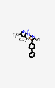 CC(C)c1nc(Nc2ncc(C(F)(F)F)cc2C(=O)O)sc1-c1ccc(-c2ccccc2)cc1